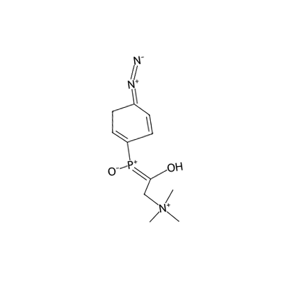 C[N+](C)(C)C/C(O)=[P+](\[O-])C1=CCC(=[N+]=[N-])C=C1